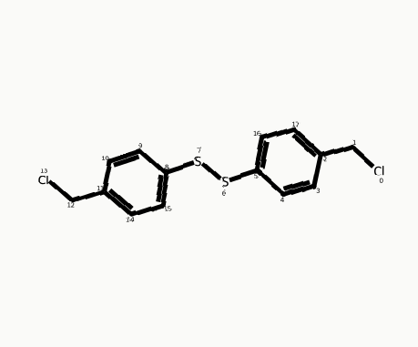 ClCc1ccc(SSc2ccc(CCl)cc2)cc1